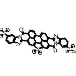 O=c1c2cc3c4c5c(cc6c7c(ccc(c8ccc(c2c84)c2nc4c(n12)C=C(S(=O)(=O)O)CC4)c57)c(=O)n1c2cc(S(=O)(=O)O)ccc2nc61)S3(=O)=O